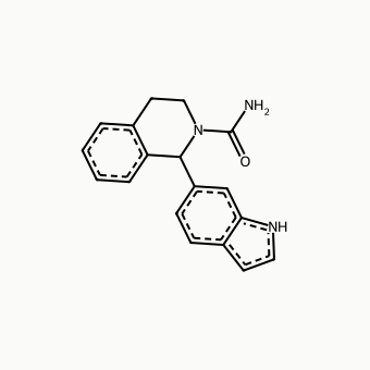 NC(=O)N1CCc2ccccc2C1c1ccc2cc[nH]c2c1